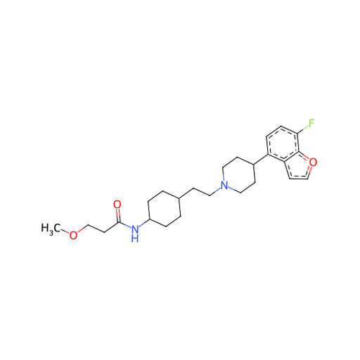 COCCC(=O)NC1CCC(CCN2CCC(c3ccc(F)c4occc34)CC2)CC1